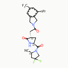 CCCc1cc(C(F)(F)F)cc2c1CN(C(=O)C[C@@H]1C[C@@H](C(=O)N3CC(F)(F)C[C@H]3C#N)NC1=O)C2